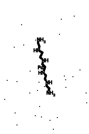 NCCNCCNCCNCCNCCN.[Pd]